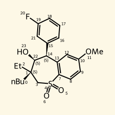 CCCC[C@]1(CC)CS(=O)(=O)c2ccc(OC)cc2[C@H](c2cccc(F)c2)[C@@H]1O